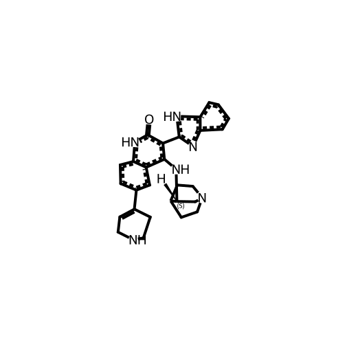 O=c1[nH]c2ccc(C3=CCNCC3)cc2c(N[C@@H]2CN3CCC2CC3)c1-c1nc2ccccc2[nH]1